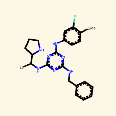 CCC(Nc1nc(NCc2ccccc2)nc(Nc2ccc(OC)c(F)c2)n1)C1CCCN1